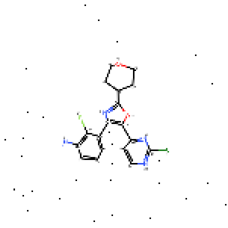 Nc1cccc(-c2nc(C3CCOCC3)oc2-c2ccnc(Cl)n2)c1F